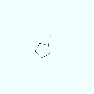 [CH2]C1([CH2])CCCC1